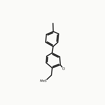 CSCc1ccc(-c2ccc(C)cc2)cc1Cl